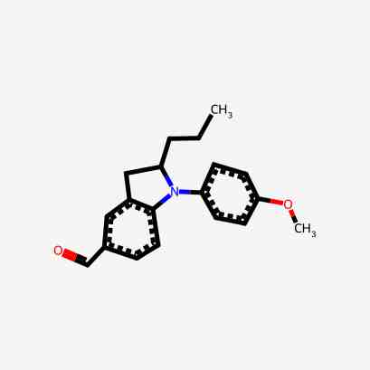 CCCC1Cc2cc(C=O)ccc2N1c1ccc(OC)cc1